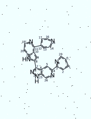 c1ccc(-c2cc3c(-c4cc5c(-c6ccncc6)nccc5[nH]4)n[nH]c3cn2)nc1